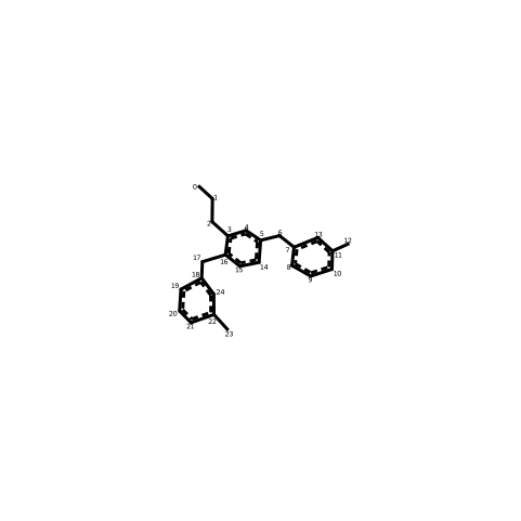 CCCc1cc(Cc2cccc(C)c2)ccc1Cc1cccc(C)c1